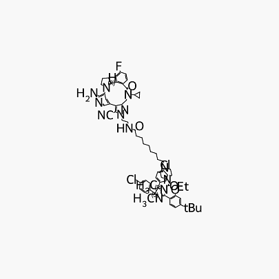 CCOc1cc(C(C)(C)C)ccc1C1=N[C@@](C)(c2ccc(Cl)cc2)[C@@](C)(c2ccc(Cl)cc2)N1C(=O)N1CCN(CCCCCCCCC(=O)NCCn2nc3c(c2C#N)-c2cnc(N)c(c2)N2CCC[C@@H]2c2cc(F)ccc2C(=O)N(C2CC2)C3)CC1